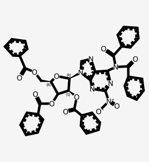 O=C(OC[C@H]1O[C@@H](n2cnc3c(N(C(=O)c4ccccc4)C(=O)c4ccccc4)nc([N+](=O)[O-])nc32)[C@@H](OC(=O)c2ccccc2)C1OC(=O)c1ccccc1)c1ccccc1